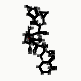 Cn1cc(N[C@H](CC2CC2)C(=O)N2[C@@H]3CC[C@H]([C@H]2C(=O)N[C@H](C#N)C[C@H]2CCCNC2=O)C(F)(F)C3)cn1